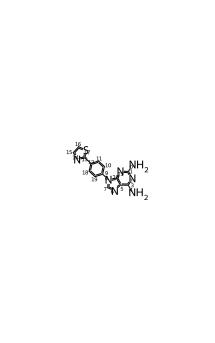 Nc1nc(N)c2ncn(-c3ccc(-c4nccs4)cc3)c2n1